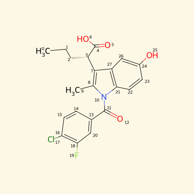 CCC[C@H](C(=O)O)c1c(C)n(C(=O)c2ccc(Cl)c(F)c2)c2ccc(O)cc12